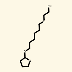 N#CCCOCCCCCCOC1CCCO1